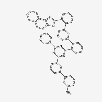 Nc1cccc(-c2cccc(-c3nc(-c4ccccc4)nc(-c4ccccc4-c4cccc(-c5ccccc5-c5nc6ccc7ccccc7c6o5)c4)n3)c2)c1